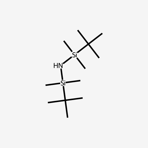 CC(C)(C)[Si](C)(C)N[Si](C)(C)C(C)(C)C